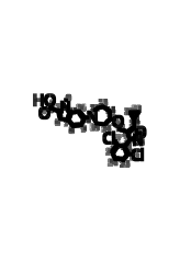 Cn1c(C(=O)O)cc2ccc(N3CCCC(OCc4c(-c5c(Cl)cccc5Cl)noc4C4CC4)CC3)cc21